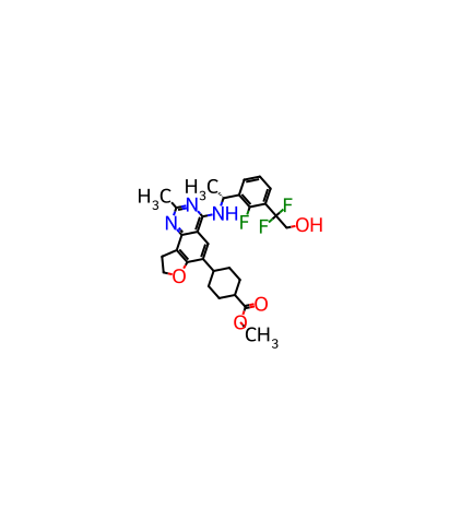 COC(=O)C1CCC(c2cc3c(N[C@H](C)c4cccc(C(F)(F)CO)c4F)nc(C)nc3c3c2OCC3)CC1